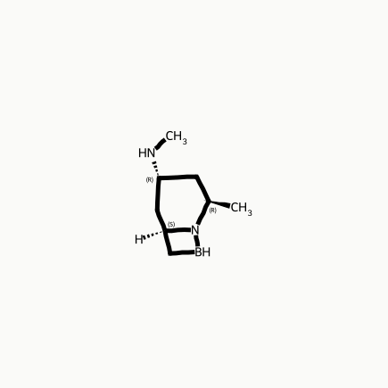 CN[C@H]1C[C@@H]2CBN2[C@H](C)C1